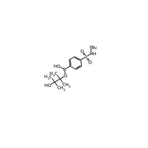 CC(C)(C)NS(=O)(=O)c1ccc(B(O)OC(C)(C)C(C)(C)O)cc1